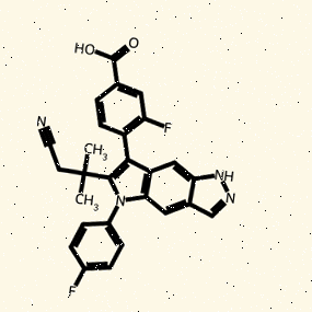 CC(C)(CC#N)c1c(-c2ccc(C(=O)O)cc2F)c2cc3[nH]ncc3cc2n1-c1ccc(F)cc1